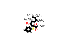 COC(=O)[C@]1(Sc2ccc(C)cc2)C[C@H](O)[C@@H](NC(C)=O)[C@H]([C@H](OC(C)=O)[C@@H](COC(C)=O)OC(C)=O)O1